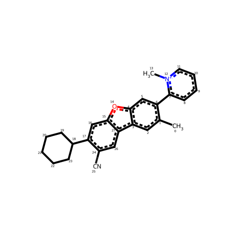 Cc1cc2c(cc1-c1cccc[n+]1C)oc1cc(C3CCCCC3)c(C#N)cc12